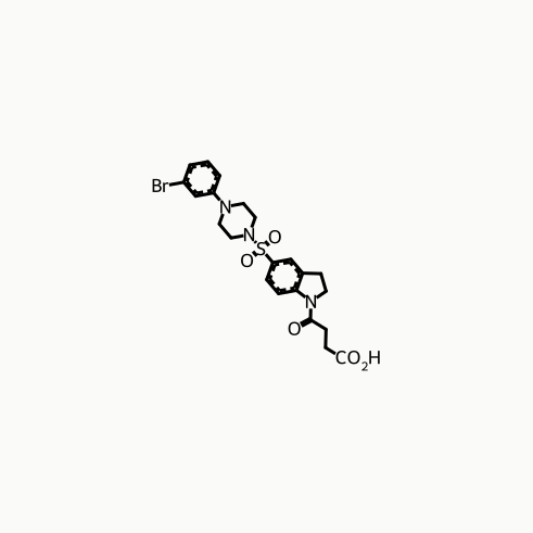 O=C(O)CCC(=O)N1CCc2cc(S(=O)(=O)N3CCN(c4cccc(Br)c4)CC3)ccc21